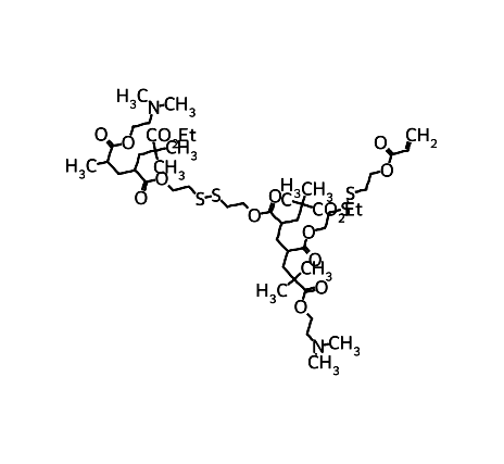 C=CC(=O)OCCSSCCOC(=O)C(CC(CC(C)(C)C(=O)OCC)C(=O)OCCSSCCOC(=O)C(CC(C)C(=O)OCCN(C)C)CC(C)(C)C(=O)OCC)CC(C)(C)C(=O)OCCN(C)C